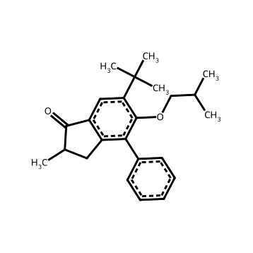 CC(C)COc1c(C(C)(C)C)cc2c(c1-c1ccccc1)CC(C)C2=O